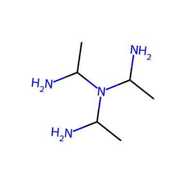 CC(N)N(C(C)N)C(C)N